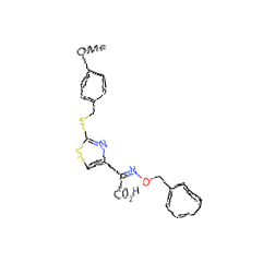 COc1ccc(CSc2nc(C(=NOCc3ccccc3)C(=O)O)cs2)cc1